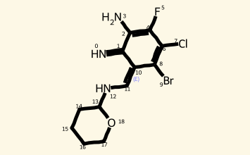 N=C1C(N)=C(F)C(Cl)=C(Br)/C1=C/NC1CCCCO1